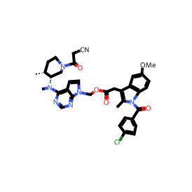 COc1ccc2c(c1)c(CC(=O)OCn1ccc3c(N(C)[C@H]4CN(C(=O)CC#N)CC[C@H]4C)ncnc31)c(C)n2C(=O)c1ccc(Cl)cc1